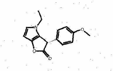 CCn1ccc2c1[C@H](c1ccc(OC)cc1)C(=O)O2